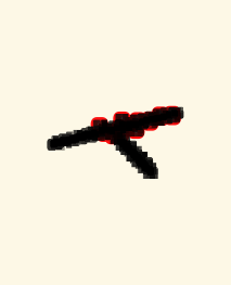 CCCCCCCCCCCCCC(=O)OCC(COC(=O)CCC(=O)OCCOCCOCCOC)OC(=O)CCCCCCCCCCCCC